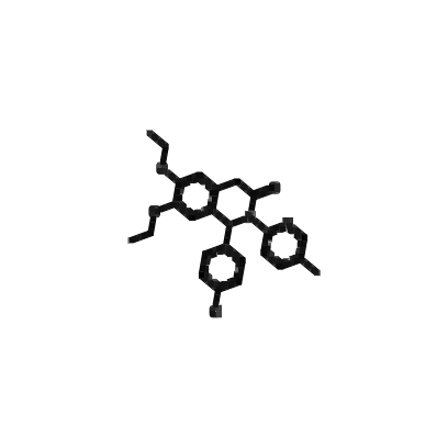 CCOc1cc2c(cc1OCC)C(c1ccc(Cl)cc1)N(c1ccc(C)cn1)C(=O)C2